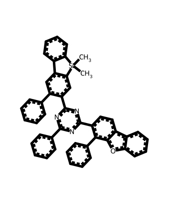 C[Si]1(C)c2ccccc2-c2cc(-c3ccccc3)c(-c3nc(-c4ccccc4)nc(-c4ccc5c(oc6ccccc65)c4-c4ccccc4)n3)cc21